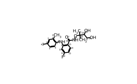 Cc1cc(I)ccc1Nc1cc(F)ccc1C(=O)NOC(C)(C)C(O)CO